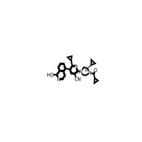 N#Cc1cc(-c2cccc3c(O)nccc23)c(C2CC2)nc1N1CCN(C(=O)C2CC2)[C@H](C2CC2)C1